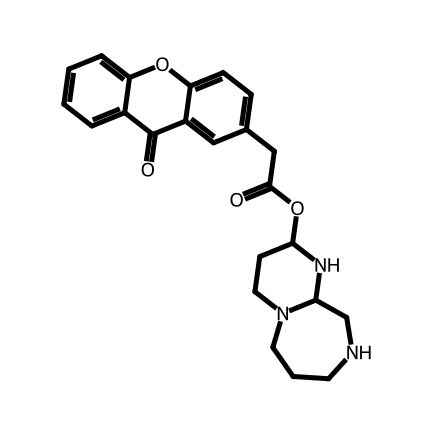 O=C(Cc1ccc2oc3ccccc3c(=O)c2c1)OC1CCN2CCCNCC2N1